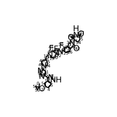 CC1(Oc2ccc3[nH]nc(-c4cc(N5CCC(CN6CCC7(CN(c8ccc9c(c8F)CN(C8CCC(=O)NC8=O)C9=O)C7)C(F)(F)C6)CC5)ncn4)c3c2)CC1